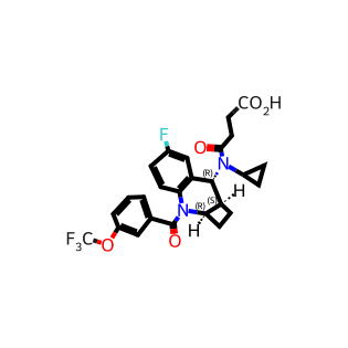 O=C(O)CCC(=O)N(C1CC1)[C@H]1c2cc(F)ccc2N(C(=O)c2cccc(OC(F)(F)F)c2)[C@@H]2CC[C@@H]21